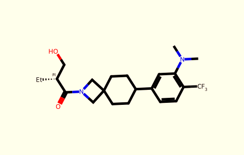 CC[C@H](CO)C(=O)N1CC2(CCC(c3ccc(C(F)(F)F)c(N(C)C)c3)CC2)C1